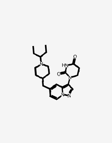 CCC(CC)N1CCC(Cc2ccn3ncc(N4CCC(=O)NC4=O)c3c2)CC1